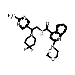 O=C(NCC(c1cnc(C(F)(F)F)nc1)N1CCC(F)(F)CC1)c1cc(N2CCOCC2)nc2ccccc12